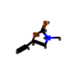 C#Cc1cn(C)c(=S)s1